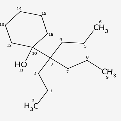 CCCC(CCC)(CCC)C1(O)CCCCC1